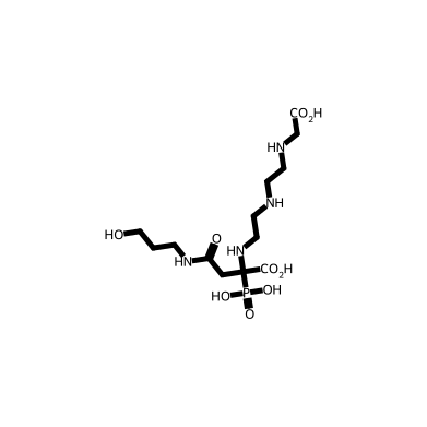 O=C(O)CNCCNCCNC(CC(=O)NCCCO)(C(=O)O)P(=O)(O)O